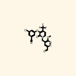 COc1nnc(C=O)cc1Cn1ccc(C(F)(F)F)c(Oc2cc(Cl)cc(C#N)c2)c1=O